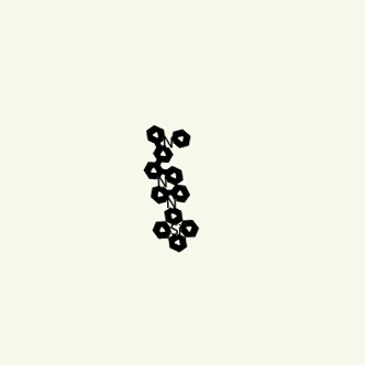 c1ccc(-n2c3ccccc3c3cc(-c4cccc5c4c4ccccc4n5-c4cccc5c4c4ccccc4n5-c4ccc([Si](c5ccccc5)(c5ccccc5)c5ccccc5)cc4)ccc32)cc1